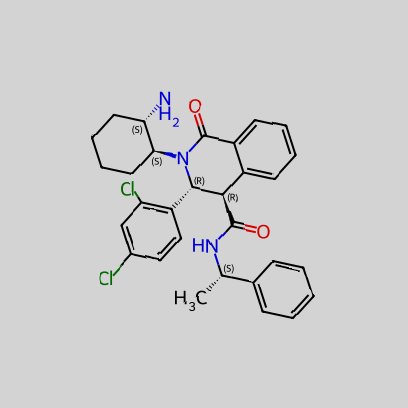 C[C@H](NC(=O)[C@@H]1c2ccccc2C(=O)N([C@H]2CCCC[C@@H]2N)[C@H]1c1ccc(Cl)cc1Cl)c1ccccc1